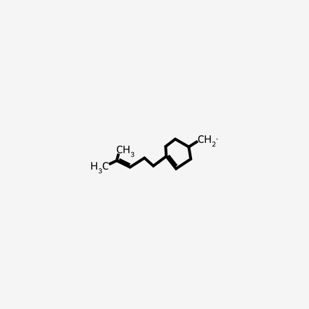 [CH2]C1CC=C(CCC=C(C)C)CC1